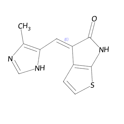 Cc1nc[nH]c1/C=C1/C(=O)Nc2sccc21